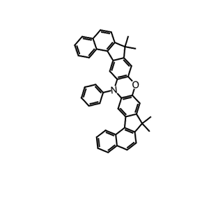 CC1(C)c2cc3c(cc2-c2c1ccc1ccccc21)N(c1ccccc1)c1cc2c(cc1O3)C(C)(C)c1ccc3ccccc3c1-2